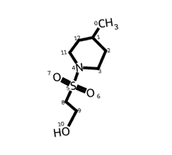 CC1CCN(S(=O)(=O)CCO)CC1